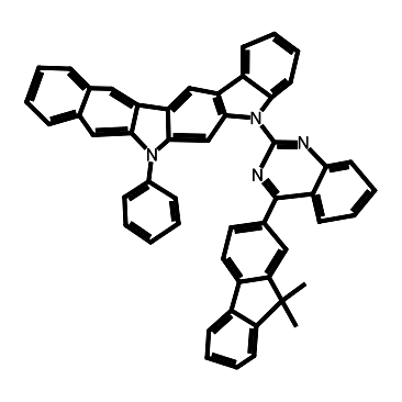 CC1(C)c2ccccc2-c2ccc(-c3nc(-n4c5ccccc5c5cc6c7cc8ccccc8cc7n(-c7ccccc7)c6cc54)nc4ccccc34)cc21